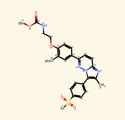 CCS(=O)(=O)c1ccc(-c2c(C)nc3ccc(-c4ccc(OCCNC(=O)OC(C)(C)C)c(OC)c4)nn23)cc1